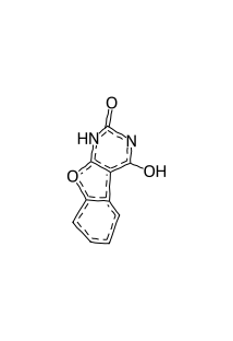 O=c1nc(O)c2c([nH]1)oc1ccccc12